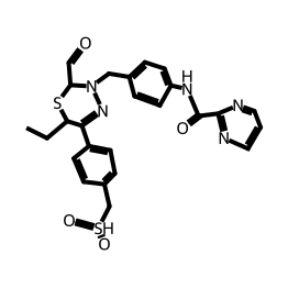 CCC1SC(C=O)N(Cc2ccc(NC(=O)c3ncccn3)cc2)N=C1c1ccc(C[SH](=O)=O)cc1